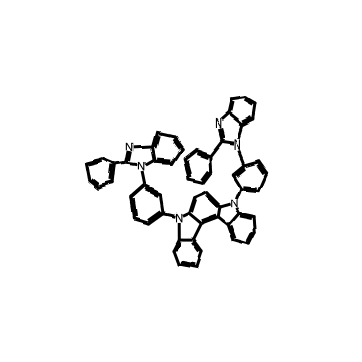 c1ccc(-c2nc3ccccc3n2-c2cccc(-n3c4ccccc4c4c5c6ccccc6n(-c6cccc(-n7c(-c8ccccc8)nc8ccccc87)c6)c5ccc43)c2)cc1